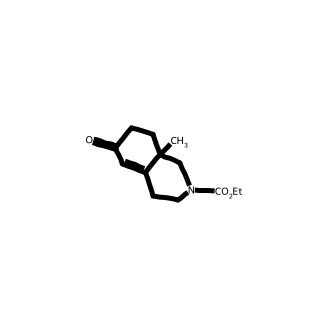 CCOC(=O)N1CCC2=CC(=O)CCC2(C)C1